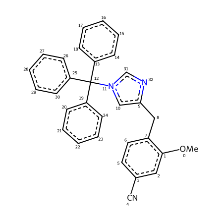 COc1cc(C#N)ccc1Cc1cn(C(c2ccccc2)(c2ccccc2)c2ccccc2)cn1